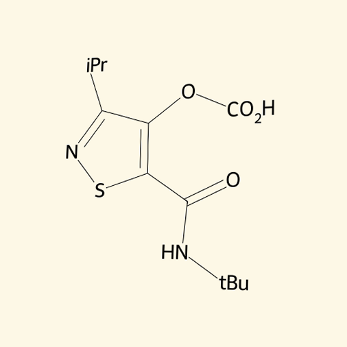 CC(C)c1nsc(C(=O)NC(C)(C)C)c1OC(=O)O